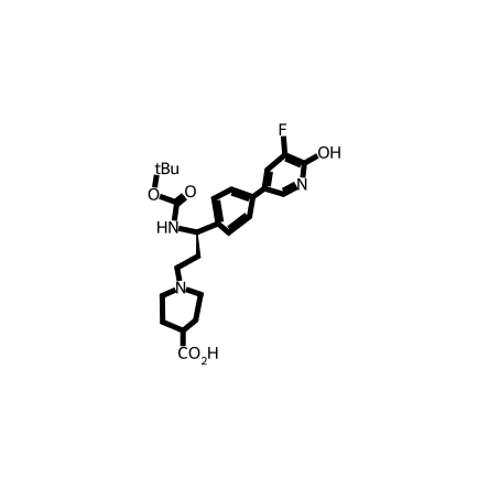 CC(C)(C)OC(=O)N[C@H](CCN1CCC(C(=O)O)CC1)c1ccc(-c2cnc(O)c(F)c2)cc1